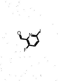 O=Cc1nc(I)ccc1F